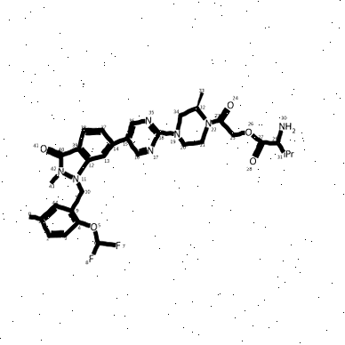 Cc1ccc(OC(F)F)c(Cn2c3cc(-c4cnc(N5CCN(C(=O)COC(=O)C(N)C(C)C)[C@H](C)C5)nc4)ccc3c(=O)n2C)c1